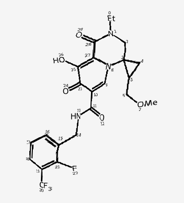 CCN1CC2(CC2COC)n2cc(C(=O)NCc3cccc(C(F)(F)F)c3F)c(=O)c(O)c2C1=O